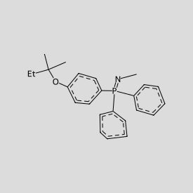 CCC(C)(C)Oc1ccc(P(=NC)(c2ccccc2)c2ccccc2)cc1